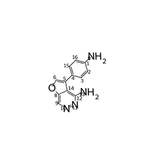 Nc1ccc(-c2coc3cnnc(N)c23)cc1